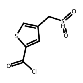 O=C(Cl)c1cc(C[SH](=O)=O)cs1